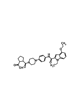 CCOc1cccc2c1cc(C(=O)Nc1ccc(N3CCN(C(=O)C4CCCC4C(=O)O)CC3)cc1)n2CC